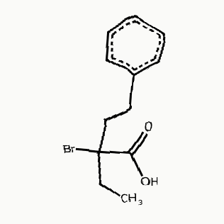 CCC(Br)(CCc1ccccc1)C(=O)O